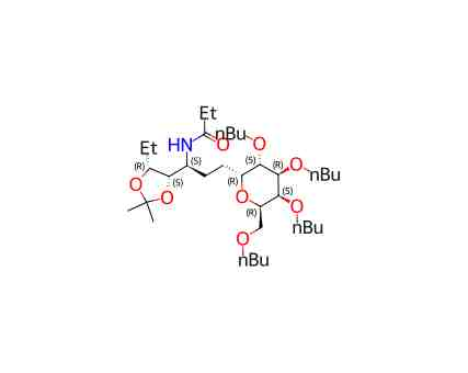 CCCCOC[C@H]1O[C@H](CC[C@H](NC(=O)CC)[C@@H]2OC(C)(C)O[C@@H]2CC)[C@H](OCCCC)[C@@H](OCCCC)[C@H]1OCCCC